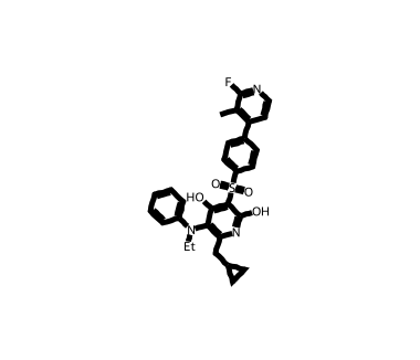 CCN(c1ccccc1)c1c(CC2CC2)nc(O)c(S(=O)(=O)c2ccc(-c3ccnc(F)c3C)cc2)c1O